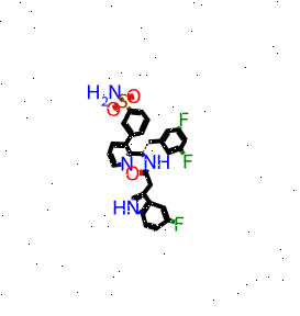 NS(=O)(=O)c1cccc(-c2cccnc2[C@H](Cc2cc(F)cc(F)c2)NC(=O)Cc2c[nH]c3ccc(F)cc23)c1